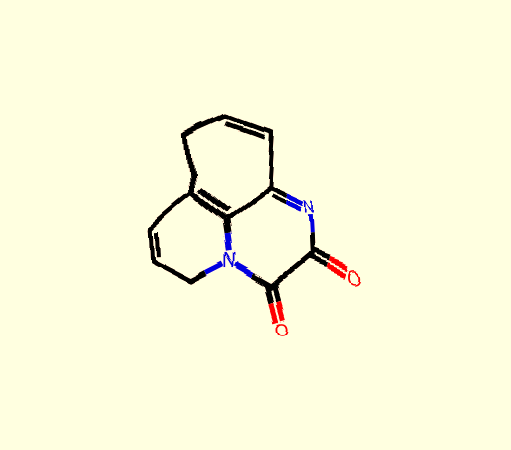 O=C1N=C2C=CCC3=C2N(CC=C3)C1=O